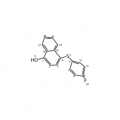 Oc1ccc(Sc2ccc(F)cc2)c2ccccc12